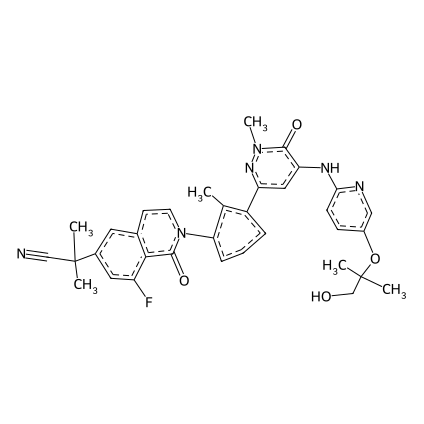 Cc1c(-c2cc(Nc3ccc(OC(C)(C)CO)cn3)c(=O)n(C)n2)cccc1-n1ccc2cc(C(C)(C)C#N)cc(F)c2c1=O